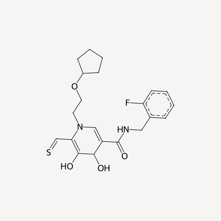 O=C(NCc1ccccc1F)C1=CN(CCOC2CCCC2)C(C=S)=C(O)C1O